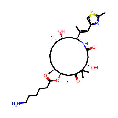 C/C(=C\c1csc(C)n1)[C@@H]1C[C@H](O)[C@@H](C)CCC[C@H](C)[C@H](OC(=O)CCCCCN)[C@@H](C)C(=O)C(C)(C)[C@@H](O)CC(=O)N1